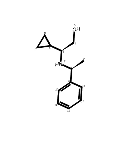 C[C@H](N[C@H](CO)C1CC1)c1ccccc1